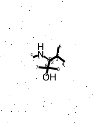 CN[C@@H](C(C)C)C(C)(C)O